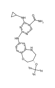 [2H]C([2H])([2H])O[C@H]1CNc2cc(Nc3ncc(C(N)=O)c(NC4CC4)n3)ccc2OC1